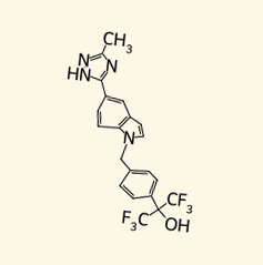 Cc1n[nH]c(-c2ccc3c(ccn3Cc3ccc(C(O)(C(F)(F)F)C(F)(F)F)cc3)c2)n1